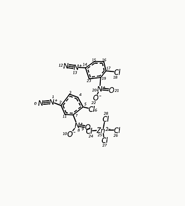 N#[N+]c1ccc(Cl)c([N+](=O)[O-])c1.N#[N+]c1ccc(Cl)c([N+](=O)[O-])c1.[Cl][Zn-2]([Cl])([Cl])[Cl]